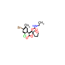 CCNC(=O)OC1=C(c2cc(C)c(Br)cc2Cl)C(=O)OC12CCCOC2